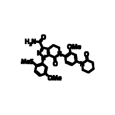 COc1ccc(SC)c(-n2nc(C(N)=O)c3c2C(=O)N(c2ccc(N4CCCCC4=O)cc2OC)CC3)c1